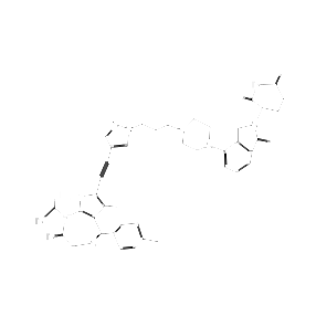 CC(=N)N1C(=N)CN=C(c2ccc(Cl)cc2)c2c1sc(C#Cc1cnn(CCCN3CCN(c4cccc5c4CN(C4CCC(=O)NC4=O)C5=O)CC3)c1)c2C